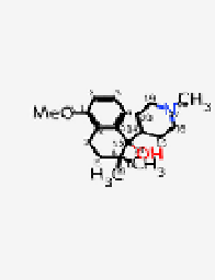 COc1cccc2c1CCC(C)(C)C2(O)C1CCN(C)CC1